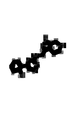 Clc1ccccc1-c1cnnc(NCc2n[nH]c3c2C=CNC3)n1